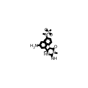 CN1C(=N)N[C@](C)(c2cccc(N)c2)[C@H](c2ccc(N(C)S(C)(=O)=O)cc2)C1=O